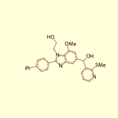 COc1cc(C(O)c2cccnc2SC)cc2nc(-c3ccc(C(C)C)cc3)n(CCO)c12